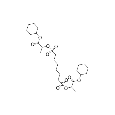 CC(OS(=O)(=O)CCCCCCS(=O)(=O)OC(C)C(=O)OC1CCCCC1)C(=O)OC1CCCCC1